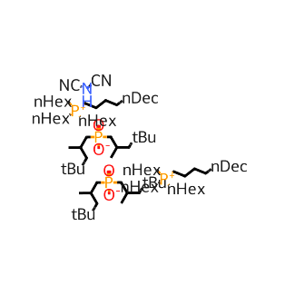 CC(CC(C)(C)C)CP(=O)([O-])CC(C)CC(C)(C)C.CC(CC(C)(C)C)CP(=O)([O-])CC(C)CC(C)(C)C.CCCCCCCCCCCCCC[P+](CCCCCC)(CCCCCC)CCCCCC.CCCCCCCCCCCCCC[P+](CCCCCC)(CCCCCC)CCCCCC.N#CNC#N